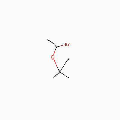 CC(Br)OC(C)(C)C